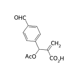 C=C(C(=O)O)C(OC(C)=O)c1ccc(C=O)cc1